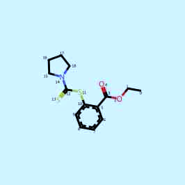 CCOC(=O)c1ccccc1SC(=S)N1CCCC1